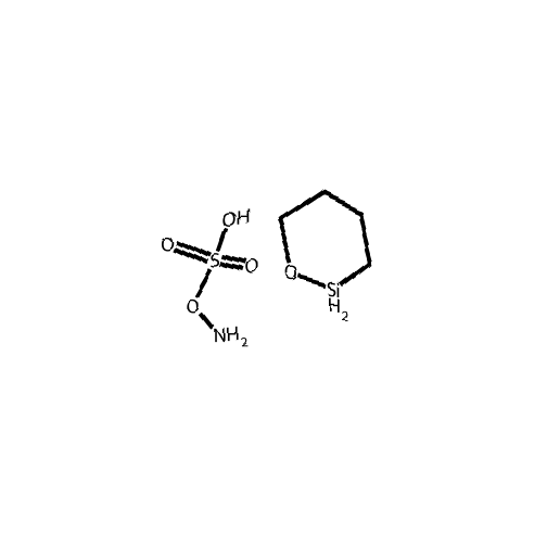 C1CC[SiH2]OC1.NOS(=O)(=O)O